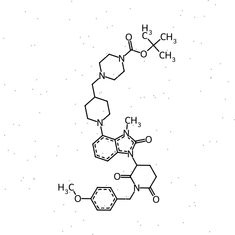 COc1ccc(CN2C(=O)CCC(n3c(=O)n(C)c4c(N5CCC(CN6CCN(C(=O)OC(C)(C)C)CC6)CC5)cccc43)C2=O)cc1